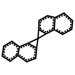 c1ccc2c3c(ccc2c1)C31c2ccc3ccccc3c21